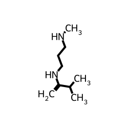 C=C(NCCCNC)C(C)C